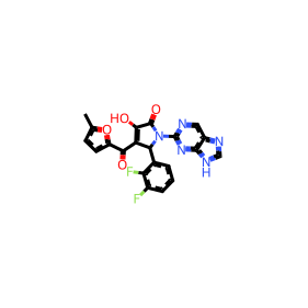 Cc1ccc(C(=O)C2=C(O)C(=O)N(c3ncc4nc[nH]c4n3)C2c2cccc(F)c2F)o1